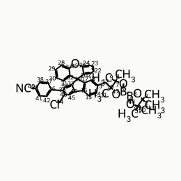 CC1(C)OB(B2OC(C)(C)C(C)(Cc3ccc4c(c3)C3(c5ccccc5Oc5ccccc53)c3cc(-c5ccc(C#N)cc5)c(Cl)cc3-4)O2)OC1(C)C